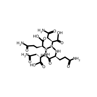 NC(=O)CC[C@H](NN([C@@H](CC(N)=O)C(=O)O)N(N[C@@H](CC(N)=O)C(=O)O)[C@@H](CCC(N)=O)C(=O)O)C(=O)O